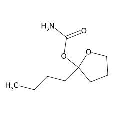 CCCCC1(OC(N)=O)CCCO1